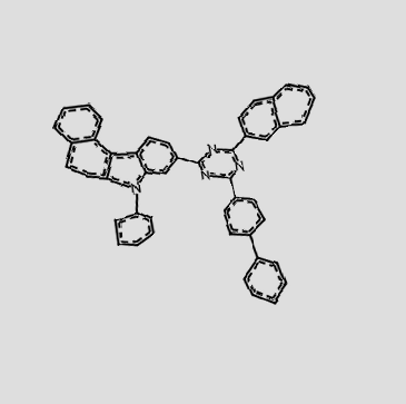 c1ccc(-c2ccc(-c3nc(-c4ccc5ccccc5c4)nc(-c4ccc5c6c7ccccc7ccc6n(-c6ccccc6)c5c4)n3)cc2)cc1